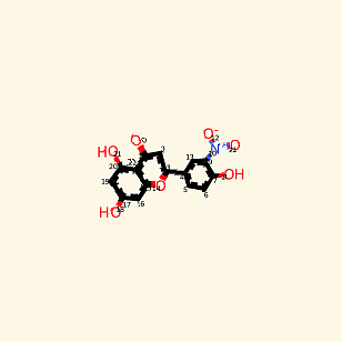 O=c1cc(-c2ccc(O)c([N+](=O)[O-])c2)oc2cc(O)cc(O)c12